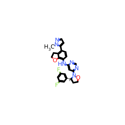 Cn1nccc1-c1ccc(Nc2cc(N3OCC[C@@H]3c3cc(F)cc(F)c3)ncn2)c2c1CCO2